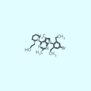 CCc1cc(Br)cc(CC)c1-n1cc(C)c2c(N3CCCC[C@@H]3CCO)nc(C)nc21